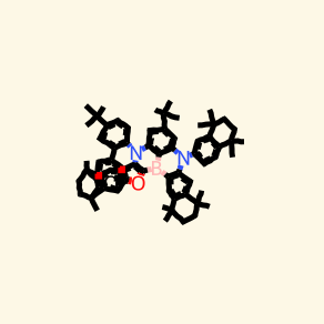 CC(C)(C)c1ccc(N2c3cc(C(C)(C)C)cc4c3B(c3cc5c(cc3N4c3ccc4c(c3)C(C)(C)CCC4(C)C)C(C)(C)CCC5(C)C)c3oc4cc5c(cc4c32)C2(C)CCC5(C)CC2)c(-c2ccccc2)c1